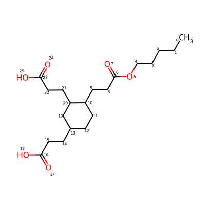 CCCCCOC(=O)CCC1CCC(CCC(=O)O)CC1CCC(=O)O